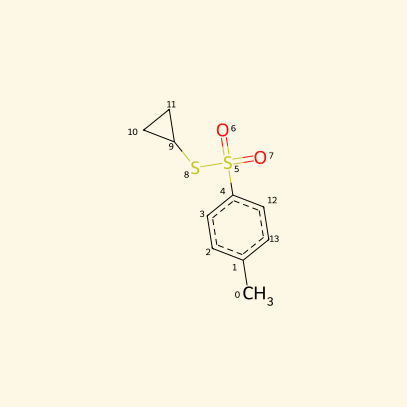 Cc1ccc(S(=O)(=O)SC2CC2)cc1